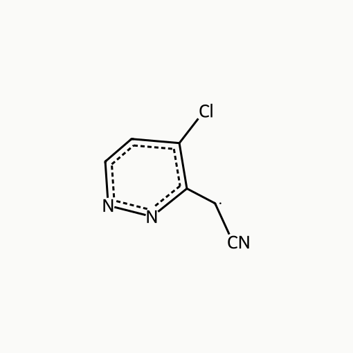 N#C[CH]c1nnccc1Cl